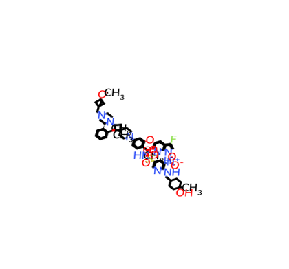 COc1nc2[nH]cc(F)c2cc1Oc1cc(N2CCC3(CC2)CC(N2CCN(CC45CC(OC)(C4)C5)C[C@H]2c2ccccc2C(C)C)C3)ccc1C(=O)NS(=O)(=O)c1cnc(NCC2CCC(C)(O)CC2)c([N+](=O)[O-])c1